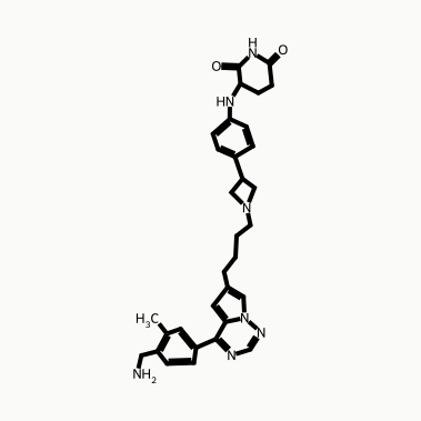 Cc1cc(-c2ncnn3cc(CCCCN4CC(c5ccc(NC6CCC(=O)NC6=O)cc5)C4)cc23)ccc1CN